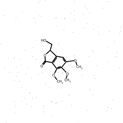 COc1cc2c(c(OC)c1OC)C(=O)OC2CO